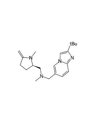 C=C1CC[C@H](CN(C)Cc2ccc3nc(C(C)(C)C)cn3c2)N1C